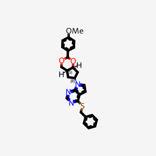 COc1ccc(C2OC[C@@H]3C[C@@H](n4ccc5c(SCc6ccccc6)ncnc54)C[C@@H]3O2)cc1